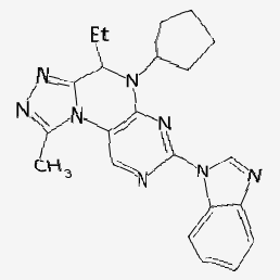 CCC1c2nnc(C)n2-c2cnc(-n3cnc4ccccc43)nc2N1C1CCCC1